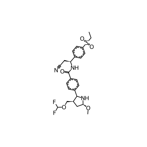 CCS(=O)(=O)c1ccc([C@H](CC#N)NC(=O)c2ccc(C3N[C@@H](OC)C[C@H]3COC(F)F)cc2)cc1